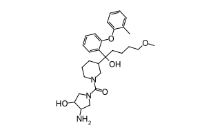 COCCCCC(O)(c1ccccc1Oc1ccccc1C)C1CCCN(C(=O)N2CC(N)C(O)C2)C1